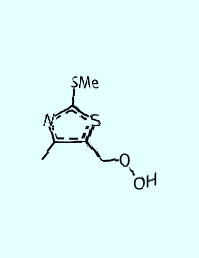 CSc1nc(C)c(COO)s1